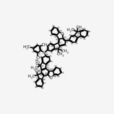 Cc1cc(C)c(N(c2ccc3c(c2)C(C)(C)c2cc(-c4ccc5c(c4)C(C)(C)c4ccccc4-5)c4oc5ccccc5c4c2-3)c2ccc3c(c2)C(C)(C)c2c4c(c5oc6ccccc6c5c2-3)-c2ccccc2C4(C)C)c(C)c1